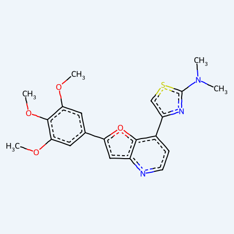 COc1cc(-c2cc3nccc(-c4csc(N(C)C)n4)c3o2)cc(OC)c1OC